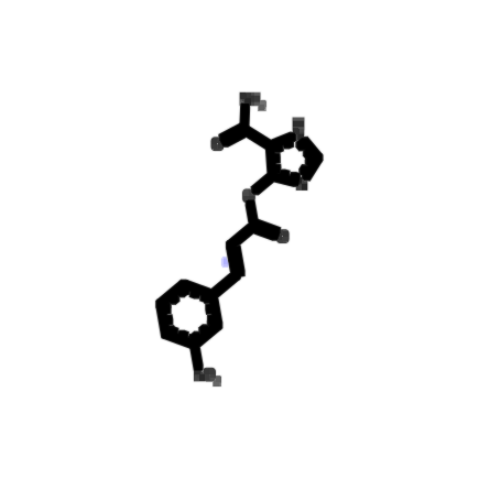 NC(=O)c1[nH]cnc1OC(=O)/C=C/c1cccc([N+](=O)[O-])c1